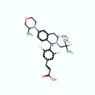 CC1COCCN1c1ccc2c(c1)C[C@H](C)N(CC(C)(C)F)[C@H]2c1c(F)cc(/C=C/C(=O)O)cc1F